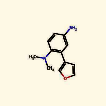 CN(C)c1ccc(N)cc1-c1ccoc1